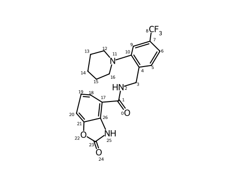 O=C(NCc1ccc(C(F)(F)F)cc1N1CCCCC1)c1cccc2oc(=O)[nH]c12